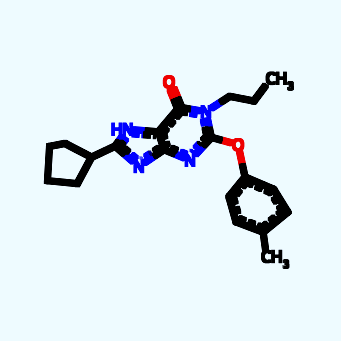 CCCn1c(Oc2ccc(C)cc2)nc2nc(C3CCCC3)[nH]c2c1=O